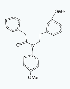 COc1ccc(N(CCc2cccc(OC)c2)C(=O)Cc2ccccc2)cc1